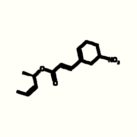 C/C=C\[C@@H](C)OC(=O)/C=C/C1=CCCC([N+](=O)[O-])C1